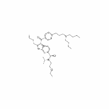 CCCCc1cc2cc(C(=O)N(CCOCC)C(C)C)ccn2c1C(=O)c1ccc(CCCN(CCCC)CCCC)cc1